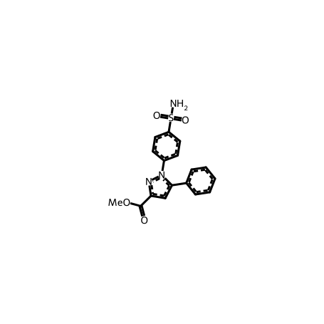 COC(=O)c1cc(-c2ccccc2)n(-c2ccc(S(N)(=O)=O)cc2)n1